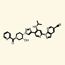 CC(C)Nc1cc(-n2ncc3cc(C#N)cnc32)ncc1-c1cn([C@H]2CCN(C(=O)c3ccccn3)C[C@H]2O)nn1